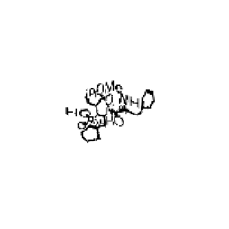 COC(=O)C(CC(C)C)C(C(CC1CCCCC1)NC(=O)[C@@H](N)Cc1ccccc1)P(=O)(O)O